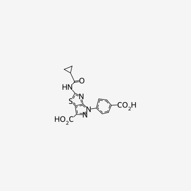 O=C(O)c1ccc(-n2nc(C(=O)O)c3sc(NC(=O)C4CC4)nc32)cc1